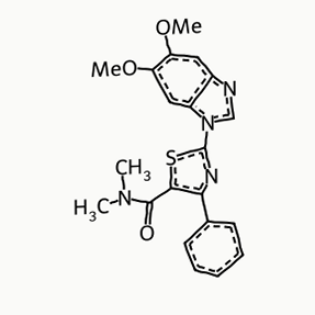 COc1cc2ncn(-c3nc(-c4ccccc4)c(C(=O)N(C)C)s3)c2cc1OC